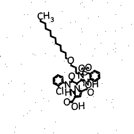 CCCCCCCCCCCCOCCCN1C(C(C(=O)Nc2ccccc2Cl)n2nc(C(=O)O)cc2C(=O)O)=Nc2ccccc2S1(=O)=O